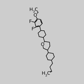 C=CCCC1CCC(C2CCC(C3CCC(c4ccc(OCC)c(F)c4F)CC3)OC2)CC1